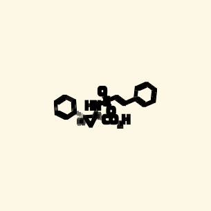 O=C(O)[C@]1(NS(=O)(=O)C=Cc2ccccc2)C[C@@H]1c1ccccc1